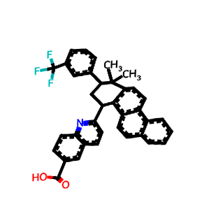 CC1(C)c2ccc3c(ccc4ccccc43)c2C(c2ccc3cc(C(=O)O)ccc3n2)CC1c1cccc(C(F)(F)F)c1